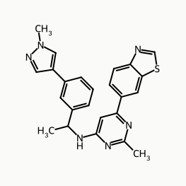 Cc1nc(NC(C)c2cccc(-c3cnn(C)c3)c2)cc(-c2ccc3ncsc3c2)n1